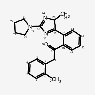 Cc1ccccc1CC(=O)c1ccccc1C1=NC(N2CCCC2)=NC1C